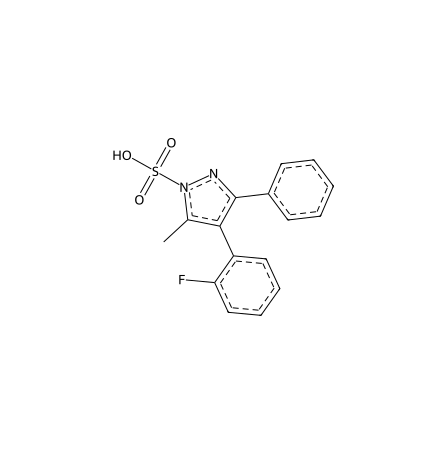 Cc1c(-c2ccccc2F)c(-c2ccccc2)nn1S(=O)(=O)O